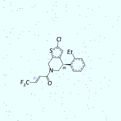 CCc1ccccc1[C@H]1CN(C(=O)/C=C/C(F)(F)F)Cc2sc(Cl)cc21